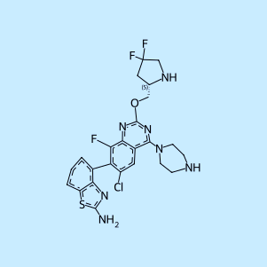 Nc1nc2c(-c3c(Cl)cc4c(N5CCNCC5)nc(OC[C@@H]5CC(F)(F)CN5)nc4c3F)cccc2s1